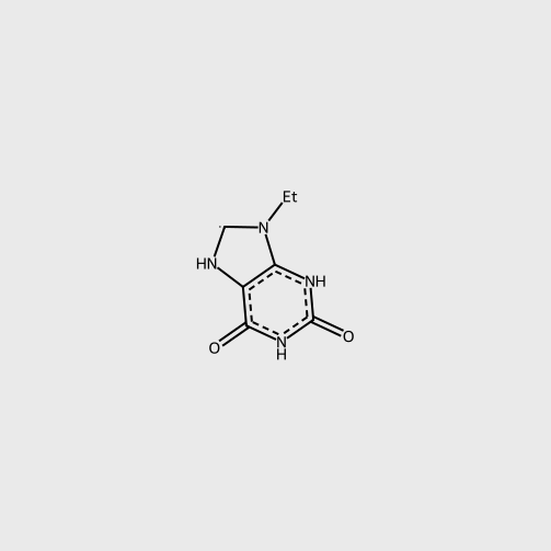 CCN1[CH]Nc2c1[nH]c(=O)[nH]c2=O